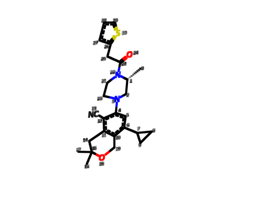 C[C@@H]1CN(c2cc(C3CC3)c3c(c2C#N)CC(C)(C)OC3)CCN1C(=O)Cc1cccs1